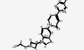 CCc1cnc(-c2ccn(-c3ccc4c(c3)CCN4C3CN(CCF)C3)c(=O)c2)nc1